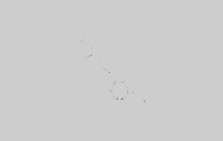 CC(C)(C)OC(=O)N1C=C(c2cccc(OC(F)(F)F)c2)CC1